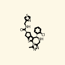 Cc1nnc2n1-c1sc3c(c1[C@H](c1ccccc1Cl)NC2)C[C@H](C(=O)NCc1cscn1)C3